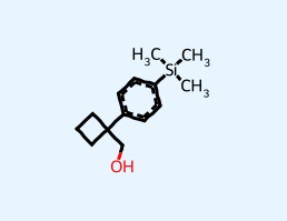 C[Si](C)(C)c1ccc(C2(CO)CCC2)cc1